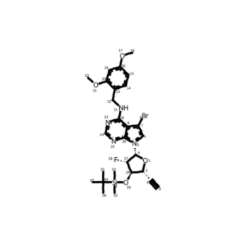 C#C[C@H]1O[C@@H](n2cc(Br)c3c(NCc4ccc(OC)cc4OC)ncnc32)[C@@H](F)[C@@H]1O[Si](C)(C)C(C)(C)C